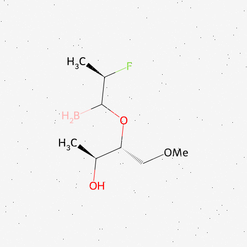 BC(O[C@H](COC)[C@H](C)O)[C@@H](C)F